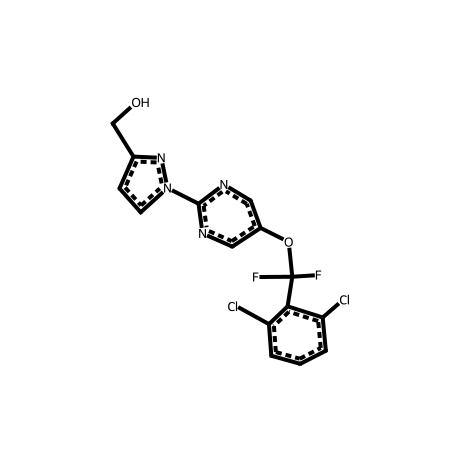 OCc1ccn(-c2ncc(OC(F)(F)c3c(Cl)cccc3Cl)cn2)n1